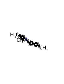 CCCC1CCC(C2CCC(CC/C=C/c3ccc(OCC)c(Cl)c3F)CC2)CC1